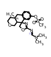 CN(C)/C=N/C1=NC2(CO1)c1cc(OS(=O)(=O)C(F)(F)F)ccc1C[C@]1(C)CCOCC21